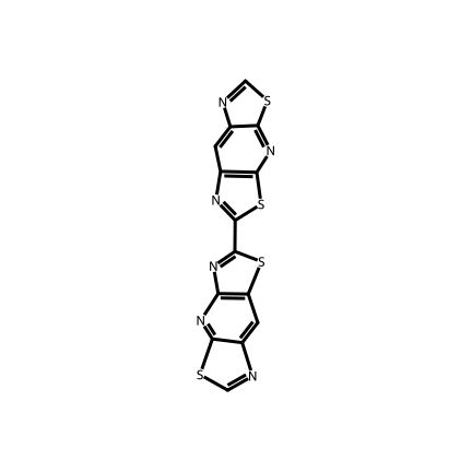 c1nc2cc3sc(-c4nc5cc6ncsc6nc5s4)nc3nc2s1